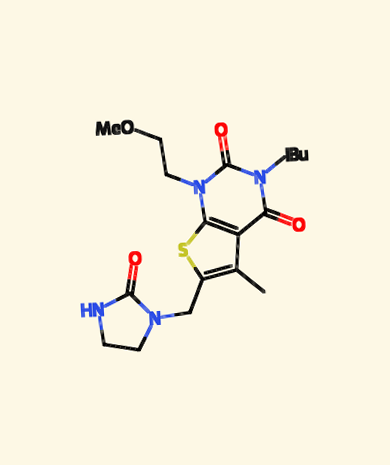 CCC(C)n1c(=O)c2c(C)c(CN3CCNC3=O)sc2n(CCOC)c1=O